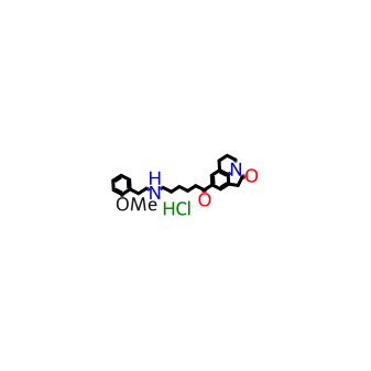 COc1ccccc1CCNCCCCCC(=O)c1cc2c3c(c1)CC(=O)N3CCC2.Cl